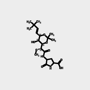 CO[C@@H](C(=O)NC1CC(C(=O)O)NC1=O)[C@@H]1OC(C)(C)O[C@H](C=CC(C)(C)C)[C@@H]1O